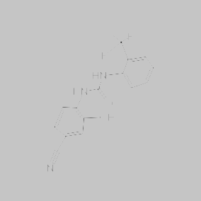 N#Cc1ccc(NC(=O)Nc2ccccc2C(F)(F)F)c(O)c1